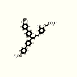 O=C(O)COc1ccc(SCC=C(c2ccc(-c3ccc(OC(F)(F)F)cc3)cc2)c2ccc(-c3ccc(OC(F)(F)F)cc3)cc2)cc1Cl